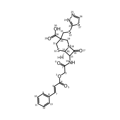 O=C(COC(=O)C=Cc1ccccc1)NC1C(=O)N2CC(CSc3nncs3)(C(=O)O)CS[C@H]12